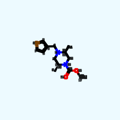 C[C@@H]1CN(Cc2ccsc2)[C@@H](C)CN1C(=O)OC(C)(C)C